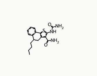 CCCCC1Cc2c(sc(NC(N)=O)c2C(N)=O)-c2ccccc21